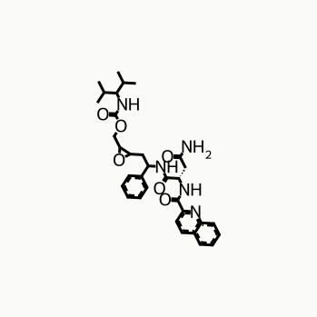 CC(C)C(NC(=O)OCC1OC1CC(NC(=O)[C@H](CC(N)=O)NC(=O)c1ccc2ccccc2n1)c1ccccc1)C(C)C